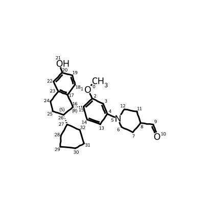 COc1cc(N2CCC(C=O)CC2)ccc1[C@H]1c2ccc(O)cc2CC[C@H]1C1CCCCC1